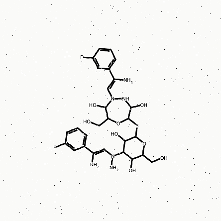 N/C(=C\N(N)C1C(O)C(CO)OC(SC2OC(CO)C(O)N(/C=C(\N)c3cccc(F)c3)NC2O)C1O)c1cccc(F)c1